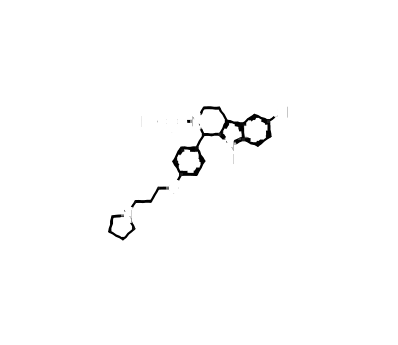 CCOC(=O)N1CCc2c([nH]c3ccc(Cl)cc23)C1c1ccc(OCCCN2CCCC2)cc1